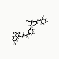 O=C(NCc1n[nH]c2ccc(Cl)cc12)c1cccc(Cc2ccc(Cn3ccccc3=O)cc2Cl)c1